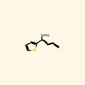 C=C/C=C(\SC)c1cccs1